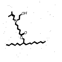 CCCCCCCCC(CCCCCC)COC(=O)CCCCCN(CC=C(C)C)CCO